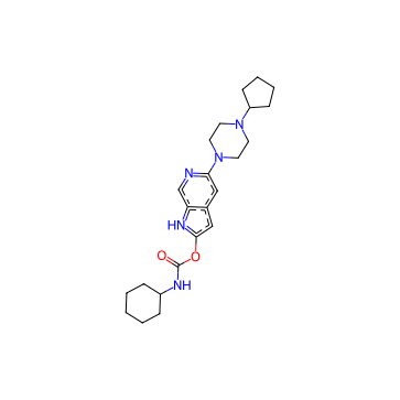 O=C(NC1CCCCC1)Oc1cc2cc(N3CCN(C4CCCC4)CC3)ncc2[nH]1